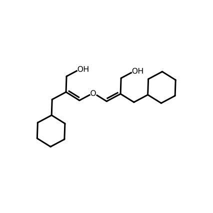 OCC(=COC=C(CO)CC1CCCCC1)CC1CCCCC1